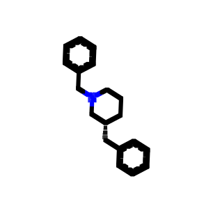 c1ccc(C[C@H]2CCCN(Cc3ccccc3)C2)cc1